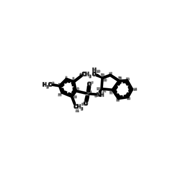 Cc1cc(C)c(S(=O)(=O)N[C@@H]2c3ccccc3C[C@@H]2O)c(C)c1